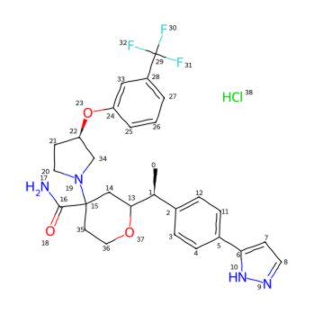 C[C@@H](c1ccc(-c2ccn[nH]2)cc1)C1CC(C(N)=O)(N2CC[C@@H](Oc3cccc(C(F)(F)F)c3)C2)CCO1.Cl